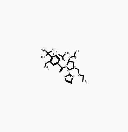 CCOC[C@@H]1C[C@](CC(C)C)(OC(=O)O)N(C(=O)c2ccc(C(C)(C)C)c(OC)c2)[C@H]1c1nccs1